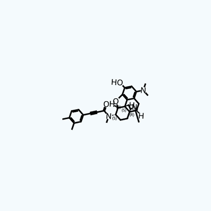 Cc1ccc(C#CC(=O)N(C)[C@H]2CC[C@H]3[C@H]4Cc5c(N(C)C)cc(O)c6c5[C@@]3(CCN4C)[C@H]2O6)cc1C